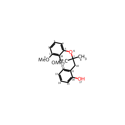 COc1cccc(OC(C)(C)Cc2ccccc2O)c1OC